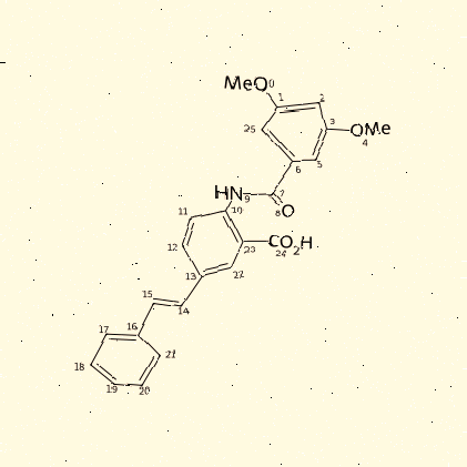 COc1cc(OC)cc(C(=O)Nc2ccc(/C=C/c3ccccc3)cc2C(=O)O)c1